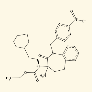 CCOC(=O)[C@@H](CCC1CCCCC1)C1(N)CCc2ccccc2N(Cc2ccc([N+](=O)[O-])cc2)C1=O